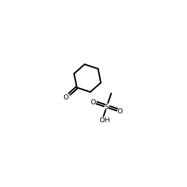 CS(=O)(=O)O.O=C1CCCCC1